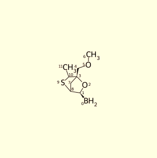 B[C@@H]1O[C@]2(COC)CC1SC2C